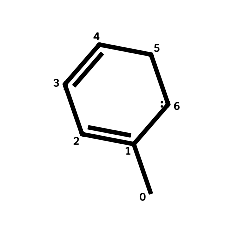 CC1=C[C]=CC[C]1